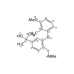 CNCc1ccc(C(C)(C)O)cc1Oc1cccc(OC)c1C